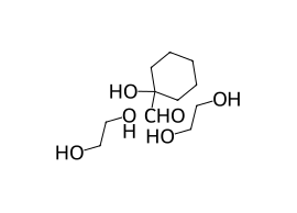 O=CC1(O)CCCCC1.OCCO.OCCO